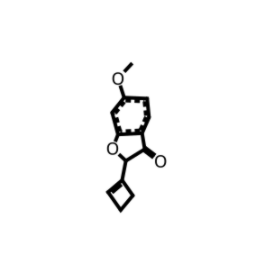 COc1ccc2c(c1)OC(C1=CCC1)C2=O